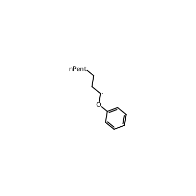 CCCCCCC[CH]Oc1ccccc1